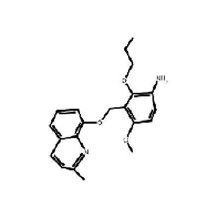 CCCOc1c(N)ccc(OC)c1COc1cccc2ccc(C)nc12